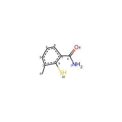 Cc1cccc(C(N)=O)c1S